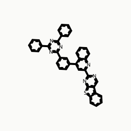 c1ccc(-c2nc(-c3ccccc3)nc(-c3cccc(-c4cc(-c5ncc6c(n5)sc5ccccc56)nc5ccccc45)c3)n2)cc1